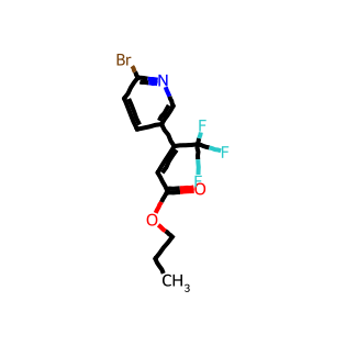 CCCOC(=O)/C=C(/c1ccc(Br)nc1)C(F)(F)F